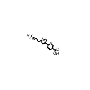 COCCn1cc(-c2ccc(C(=O)O)cn2)nn1